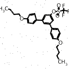 CCCCOc1ccc(-c2cc(OS(=O)(=O)C(F)(F)F)cc(-c3ccc(OCCCC)cc3)c2)cc1